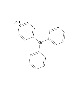 [SbH3].c1cc[c]([Sb]([c]2ccccc2)[c]2ccccc2)cc1